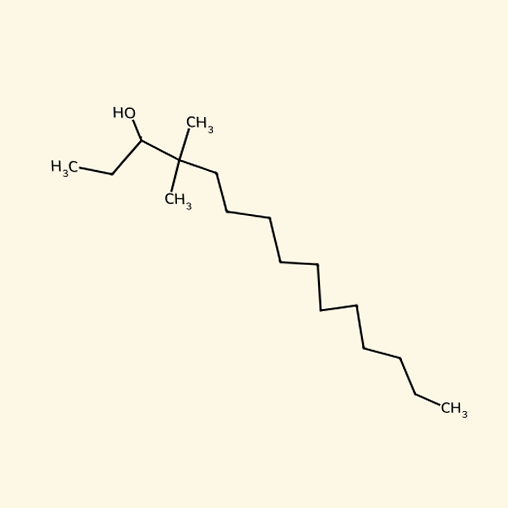 CCCCCCCCCCCC(C)(C)[C](O)CC